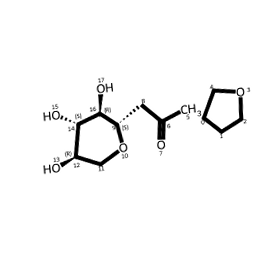 C1CCOC1.CC(=O)C[C@@H]1OC[C@@H](O)[C@H](O)[C@H]1O